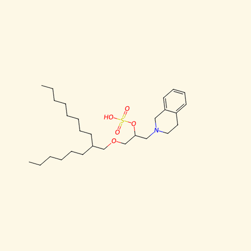 CCCCCCCCC(CCCCCC)COCC(CN1CCc2ccccc2C1)OS(=O)(=O)O